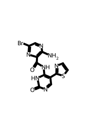 Nc1ncc(Br)nc1C(=O)Nc1[nH]c(=O)ncc1-c1nccs1